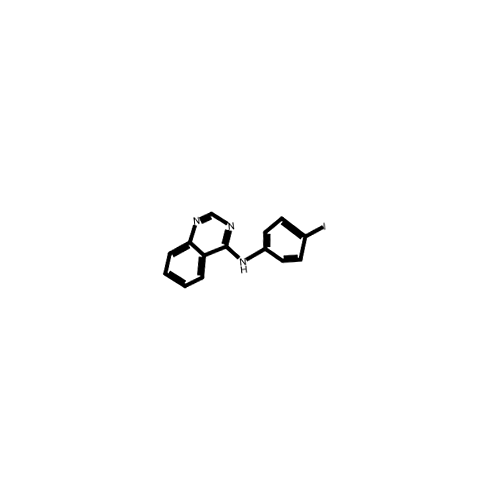 Ic1ccc(Nc2ncnc3ccccc23)cc1